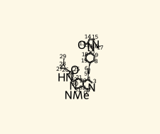 CNc1ncc(C#Cc2ccc(-n3c(=O)ccn3C)cc2)c2cc(NC(=O)[C@H]3C[C@H]3C)ncc12